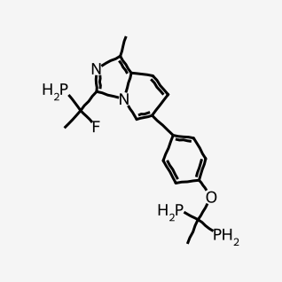 Cc1nc(C(C)(F)P)n2cc(-c3ccc(OC(C)(P)P)cc3)ccc12